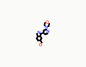 O=Cc1ccc2c(c1)C(c1ccnc(N3CCOCC3)c1)=NC2